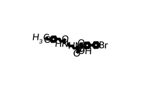 COc1ccc(CCC(=O)NCCCCC(NS(=O)(=O)c2ccc(-c3ccc(Br)cc3)cc2)C(=O)O)cc1